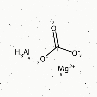 O=C([O-])[O-].[AlH3].[Mg+2]